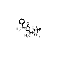 C[C@H]([C@H]1CC(=O)N([C@H](C)c2ccccc2)C1)N(C)C(=O)C(F)(F)F